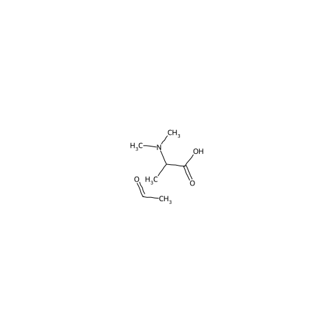 CC(C(=O)O)N(C)C.CC=O